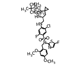 CN[C@H](CNc1cc(F)c(S(=O)(=O)N(Cc2ccc(OC)cc2OC)c2ncc(F)s2)cc1Cl)CC1(CO[Si](C)(C)C(C)(C)C)CC1